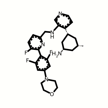 C[C@@H]1C[C@H](N)C[C@H](c2ccncc2NCc2ccc(F)c(-c3c(F)cc(N4CCOCC4)cc3F)n2)C1